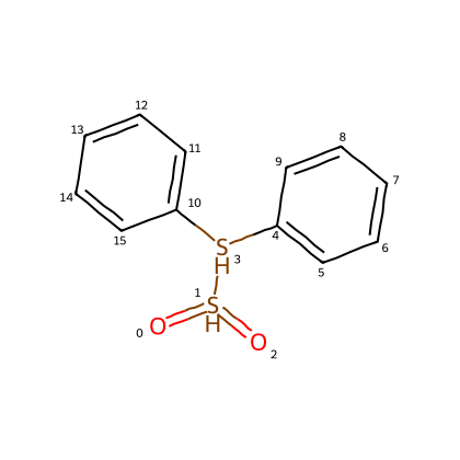 O=[SH](=O)[SH](c1ccccc1)c1ccccc1